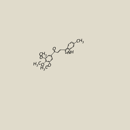 COc1cc(C(=O)C=Cc2c[nH]c3cc(C)ccc23)cc(OC)c1OC